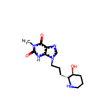 Cn1c(=O)[nH]c2c(ncn2CCC[C@H]2NCCC[C@@H]2O)c1=O